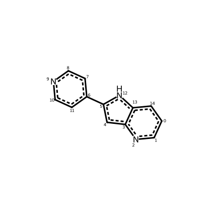 c1cnc2cc(-c3ccncc3)[nH]c2c1